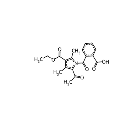 CCOC(=O)c1c(C)c(C(C)=O)n(C(=O)c2ccccc2C(=O)O)c1C